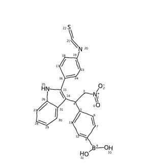 O=[N+]([O-])CC(c1ccc(B(O)O)cc1)c1c(-c2ccc(N=C=S)cc2)[nH]c2ccccc12